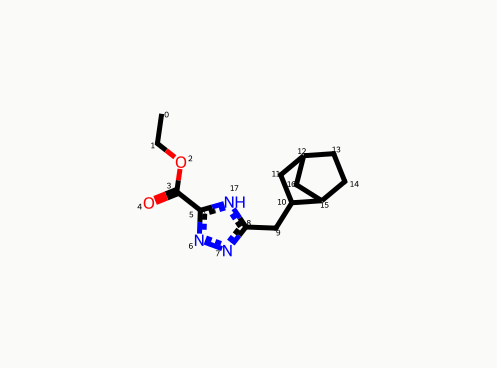 CCOC(=O)c1nnc(CC2CC3CCC2C3)[nH]1